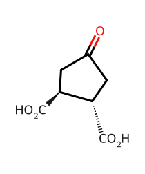 O=C1C[C@H](C(=O)O)[C@@H](C(=O)O)C1